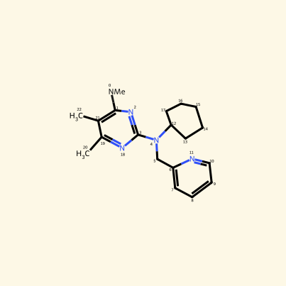 CNc1nc(N(Cc2ccccn2)C2CCCCC2)nc(C)c1C